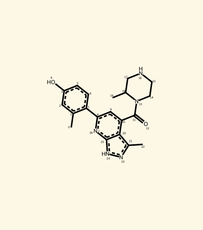 Cc1cc(O)ccc1-c1cc(C(=O)N2CCNCC2C)c2c(C)n[nH]c2n1